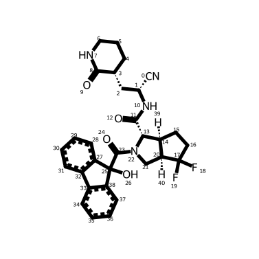 N#C[C@@H](C[C@H]1CCCNC1=O)NC(=O)[C@@H]1[C@H]2CCC(F)(F)[C@H]2CN1C(=O)C1(O)c2ccccc2-c2ccccc21